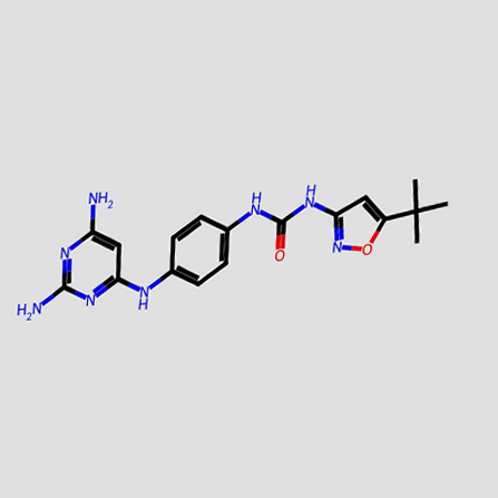 CC(C)(C)c1cc(NC(=O)Nc2ccc(Nc3cc(N)nc(N)n3)cc2)no1